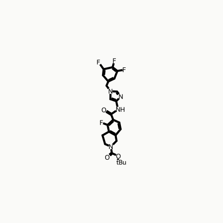 CC(C)(C)OC(=O)N1CCc2c(ccc(C(=O)Nc3cn(Cc4cc(F)c(F)c(F)c4)cn3)c2F)C1